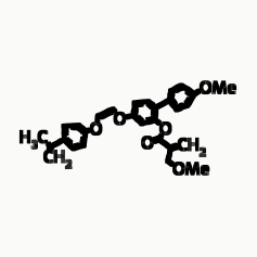 C=C(COC)C(=O)Oc1cc(O/C=C\Oc2ccc(C(=C)C)cc2)ccc1-c1ccc(OC)cc1